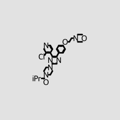 CC(C)C(=O)N1CCN(c2cnc(-c3ccc(OCCN4CCOCC4)cc3)c(-c3ccncc3Cl)n2)CC1